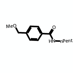 CCCCCNC(=O)c1ccc(COC)cc1